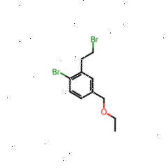 CCOCc1ccc(Br)c(CCBr)c1